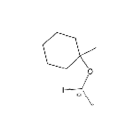 C[C@H](I)OC1(C)CCCCC1